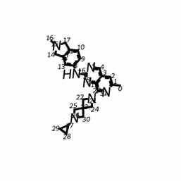 Cc1cc2cnc(Nc3ccc4c(c3)CN(C)C4)nc2c(N2CC3(C2)CN(C2CC2)C3)n1